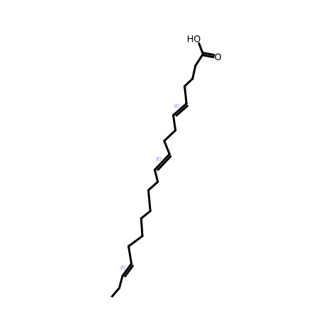 CC/C=C/CCCCCC/C=C/CC/C=C/CCCC(=O)O